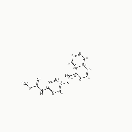 O=C(CS)Nc1cnc(CNc2cccc3cccnc23)nc1